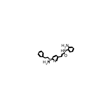 Nc1ccccc1NC(=O)C=Cc1ccc(N(N)CCc2ccccc2)nc1